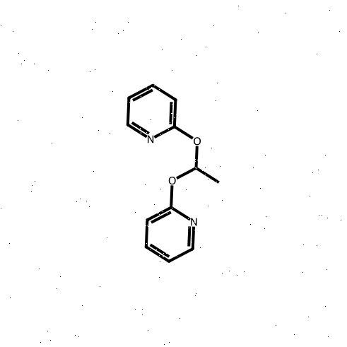 CC(Oc1ccccn1)Oc1ccccn1